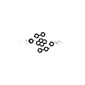 C[Si](C)(C)c1ccc(N(c2cc(-c3ccccc3F)c(F)cc2F)c2ccc3ccc4c(N(c5ccc([Si](C)(C)C)cc5)c5cc(-c6ccccc6F)c(F)cc5F)ccc5ccc2c3c54)cc1